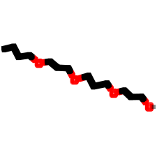 CCCCOCCCOCCCOCCC[O]